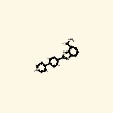 NC(=O)c1cccc2nc(-c3ccc(-c4ccncc4)cc3)oc12